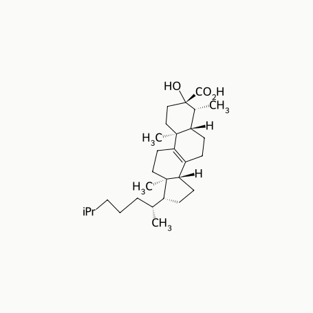 CC(C)CCC[C@@H](C)[C@H]1CC[C@H]2C3=C(CC[C@]12C)[C@@]1(C)CC[C@@](O)(C(=O)O)[C@H](C)[C@@H]1CC3